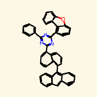 c1ccc(-c2nc(-c3cccc4c(-c5c6ccccc6cc6ccccc56)cccc34)nc(-c3cccc4oc5ccccc5c34)n2)cc1